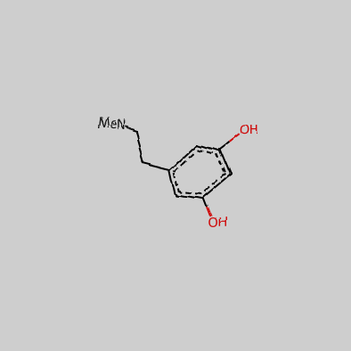 CNCCc1cc(O)cc(O)c1